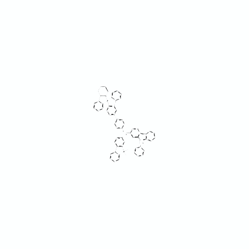 CC1(C)c2ccccc2-c2ccc(N(c3ccc(-c4ccc5c(c4)-c4ccccc4C54c5ccccc5C5CCC=CC54)cc3)c3ccc4c5ccccc5n(-c5ccccc5)c4c3)cc21